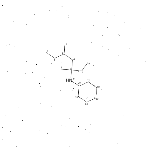 CCC(C)CC(C)(CC)NC1CCCCC1